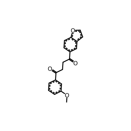 COc1cccc(C(=O)CCC(=O)c2ccc3occc3c2)c1